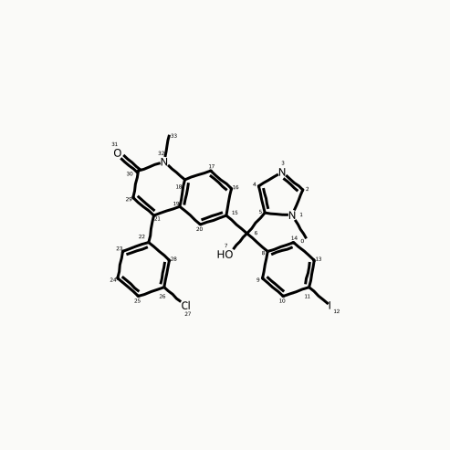 Cn1cncc1C(O)(c1ccc(I)cc1)c1ccc2c(c1)c(-c1cccc(Cl)c1)cc(=O)n2C